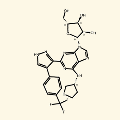 OC[C@H]1O[C@@H](n2cnc3c(N[C@@H]4CCOC4)nc(-c4n[nH]cc4-c4ccc(C(F)(F)F)cc4)nc32)[C@H](O)[C@@H]1O